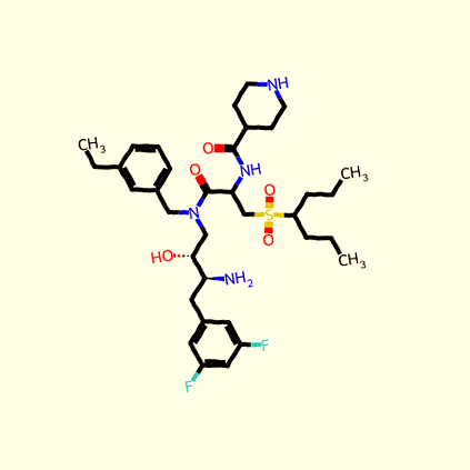 CCCC(CCC)S(=O)(=O)CC(NC(=O)C1CCNCC1)C(=O)N(Cc1cccc(CC)c1)C[C@@H](O)[C@@H](N)Cc1cc(F)cc(F)c1